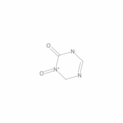 O=C1[N]C=NC[N+]1=O